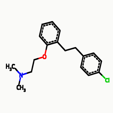 CN(C)CCOc1ccccc1CCc1ccc(Cl)cc1